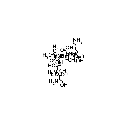 CC(C)[C@H](N)C(=O)O.CC[C@H](C)[C@H](N)C(=O)O.C[C@H](N)C(=O)O.NCCCC[C@H](N)C(=O)O.N[C@@H](CO)C(=O)O